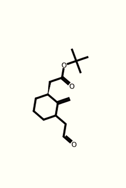 C=C1C(CC=O)CCC[C@H]1CC(=O)OC(C)(C)C